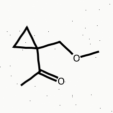 COCC1(C(C)=O)CC1